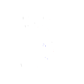 CC(C)(C)OC(=O)Oc1ccccc1C(=O)Nc1ncc(S(C)(=O)=O)s1